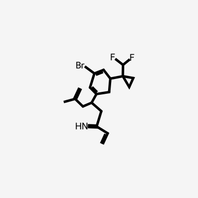 C=CC(=N)CC(CC(=C)C)C1=CC(Br)=CC(C2(C(F)F)CC2)C1